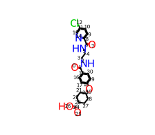 O=C(NCCNC(=O)c1ccc(Cl)cn1)c1ccc(O[C@H]2CC[C@@H](C(=O)O)CC2)cc1